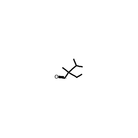 CCC(C)([C]=O)C(C)C